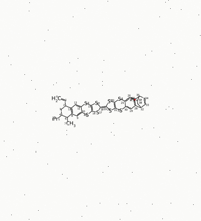 C=CC1CC(C(C)C)C(C)c2cc3c(cc21)SC1=C(S/C(=C2\SC4=C(S2)Sc2cc5c(cc2S4)C2C=CC5C(C(C)C)C2)S1)S3